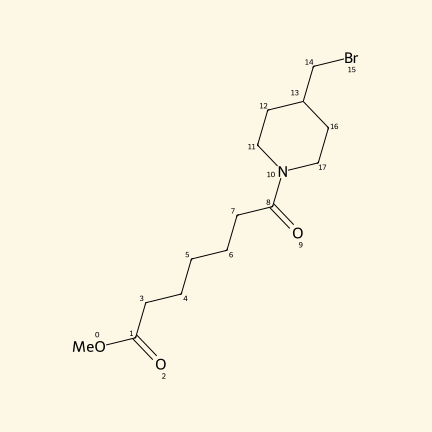 COC(=O)CCCCCC(=O)N1CCC(CBr)CC1